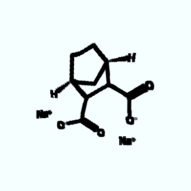 O=C([O-])C1C(C(=O)[O-])[C@H]2CC[C@@H]1C2.[Na+].[Na+]